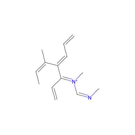 C=C/C=C(C(\C)=C/C)/C(C=C)=[N+](C)/C=N\C